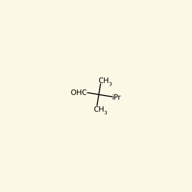 CC(C)C(C)(C)C=O